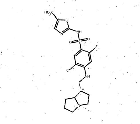 O=C(O)c1cnc(NS(=O)(=O)c2cc(Cl)c(NC[C@@H]3CCN4CCCC34)cc2F)s1